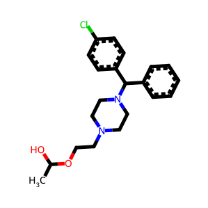 CC(O)OCCN1CCN(C(c2ccccc2)c2ccc(Cl)cc2)CC1